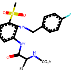 CCC(NC(=O)O)C(=O)Nc1cccc(S(C)(=O)=O)c1NCc1ccc(F)cc1